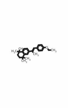 CCOc1ccc(C=C(C)c2ccc3c(c2)C(C)(C)CCC3(C)C)cc1